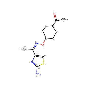 COC(=O)C1CCC(ON=C(C(=O)O)c2csc(N)n2)CC1